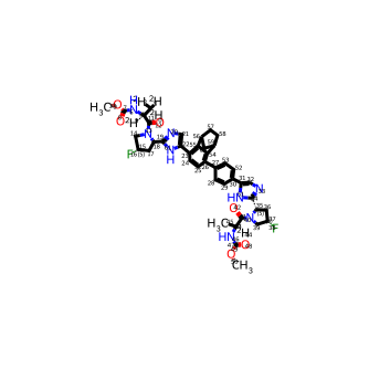 [2H]C([2H])([2H])[C@]([2H])(NC(=O)OC)C(=O)N1C[C@@H](F)CC1c1ncc(-c2ccc(-c3ccc(-c4cnc([C@@H]5C[C@H](F)CN5C(=O)[C@]([2H])(C)NC(=O)OC)[nH]4)cc3)c3c2C2CCC3C2)[nH]1